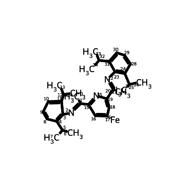 CC(=Nc1c(C(C)C)cccc1C(C)C)c1cccc(C(C)=Nc2c(C(C)C)cccc2C(C)C)n1.[Fe]